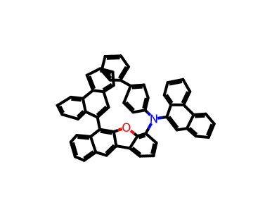 c1ccc(-c2ccc(N(c3cc4ccccc4c4ccccc34)c3cccc4c3oc3c(-c5cc6ccccc6c6ccccc56)c5ccccc5cc34)cc2)cc1